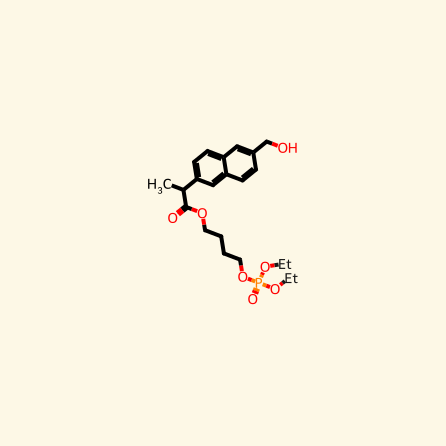 CCOP(=O)(OCC)OCCCCOC(=O)C(C)c1ccc2cc(CO)ccc2c1